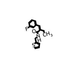 CCC(=Cc1cccc(F)c1)C(=O)NCc1cccs1